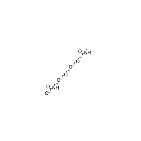 CNC(=O)CCOCCOCCOCCOCCNC(=O)COC